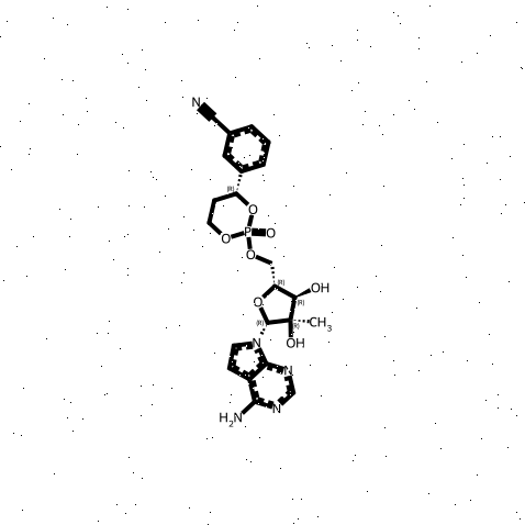 C[C@@]1(O)[C@H](O)[C@@H](COP2(=O)OCC[C@H](c3cccc(C#N)c3)O2)O[C@H]1n1ccc2c(N)ncnc21